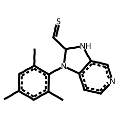 Cc1cc(C)c(N2c3ccncc3NC2C=S)c(C)c1